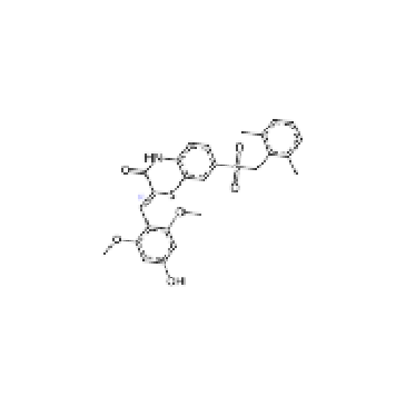 COc1cc(O)cc(OC)c1/C=C1\Sc2cc(S(=O)(=O)Cc3c(C)cccc3C)ccc2NC1=O